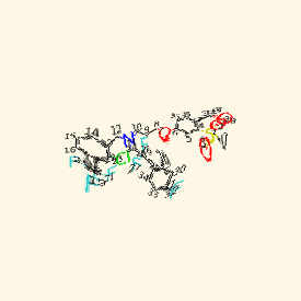 CS(=O)(=O)c1cc(OCCCN(Cc2cccc(C(F)(F)F)c2Cl)CC(F)(F)c2ccc(F)cc2)ccc1C=O